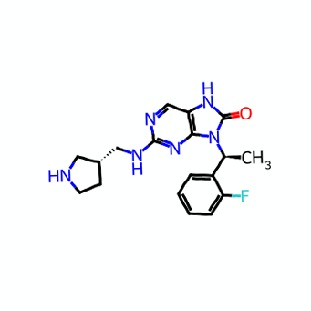 C[C@@H](c1ccccc1F)n1c(=O)[nH]c2cnc(NC[C@@H]3CCNC3)nc21